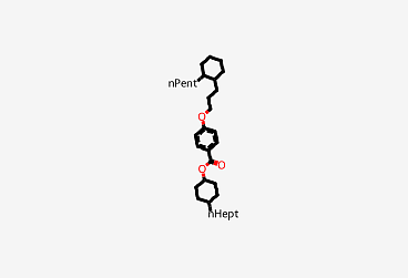 CCCCCCCC1CCC(OC(=O)c2ccc(OCCCC3CCCCC3CCCCC)cc2)CC1